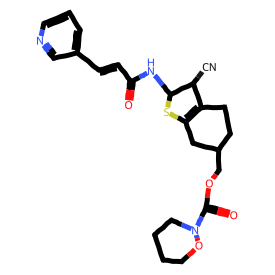 N#CC1C2=C(CC(COC(=O)N3CCCCO3)CC2)SC1NC(=O)/C=C/c1cccnc1